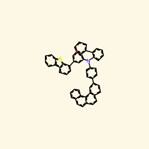 c1ccc(-c2ccccc2N(c2ccc(-c3ccc4ccc5ccc6ccccc6c5c4c3)cc2)c2cccc(-c3cccc4c3sc3ccccc34)c2)cc1